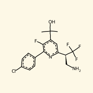 CC(C)(O)c1cc([C@H](CN)C(F)(F)F)nc(-c2ccc(Cl)cc2)c1F